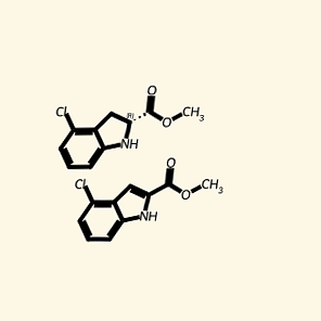 COC(=O)[C@H]1Cc2c(Cl)cccc2N1.COC(=O)c1cc2c(Cl)cccc2[nH]1